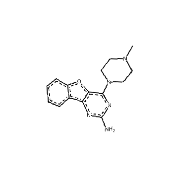 CN1CCN(c2nc(N)nc3c2oc2ccccc23)CC1